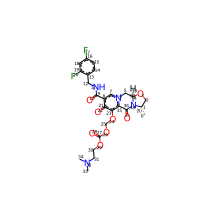 C[C@H]1CO[C@@H]2Cn3cc(C(=O)NCc4ccc(F)cc4F)c(=O)c(OCOC(=O)OCCN(C)C)c3C(=O)N12